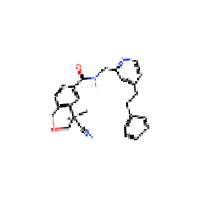 C[C@@]1(C#N)COCc2ccc(C(=O)NCc3cc(CCc4ccccc4)ccn3)cc21